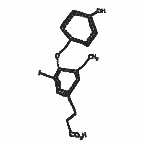 Cc1cc(CCC(=O)O)cc(I)c1Oc1ccc(O)cc1